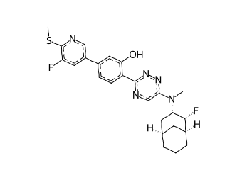 CSc1ncc(-c2ccc(-c3ncc(N(C)[C@H]4C[C@@H]5CCC[C@@H](C5)[C@H]4F)nn3)c(O)c2)cc1F